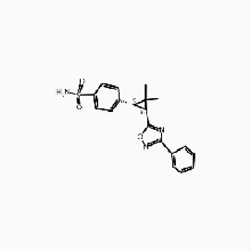 CC1(C)[C@@H](c2ccc(S(N)(=O)=O)cc2)[C@@H]1c1nc(-c2ccccc2)no1